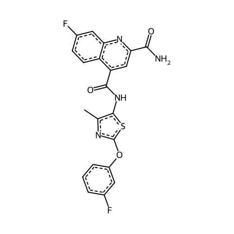 Cc1nc(Oc2cccc(F)c2)sc1NC(=O)c1cc(C(N)=O)nc2cc(F)ccc12